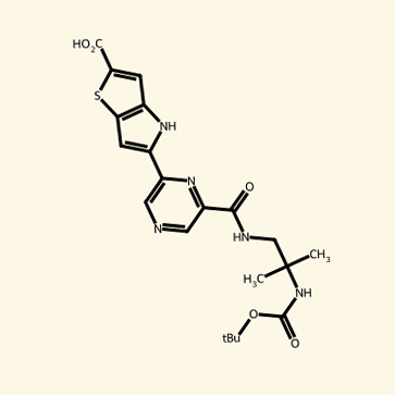 CC(C)(CNC(=O)c1cncc(-c2cc3sc(C(=O)O)cc3[nH]2)n1)NC(=O)OC(C)(C)C